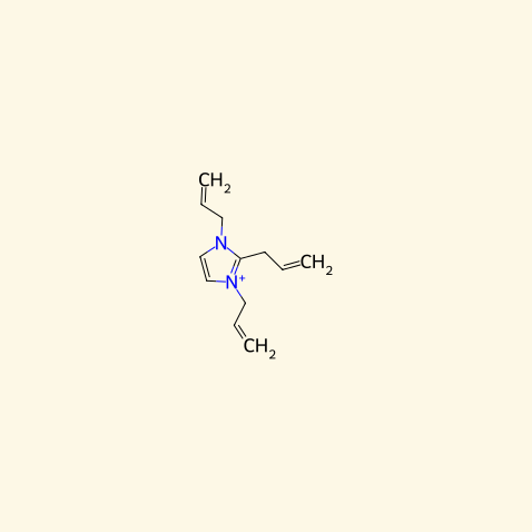 C=CCc1n(CC=C)cc[n+]1CC=C